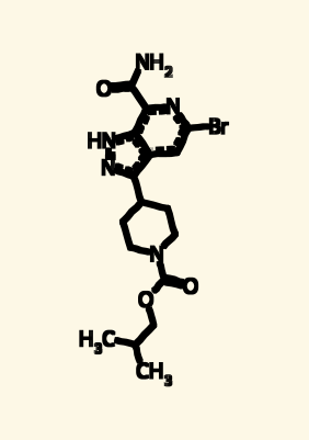 CC(C)COC(=O)N1CCC(c2n[nH]c3c(C(N)=O)nc(Br)cc23)CC1